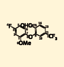 COc1cc(F)ccc1Oc1cc(C(F)(F)F)ccc1C=O